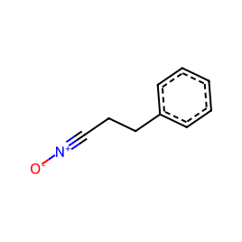 [O-][N+]#CCCc1ccccc1